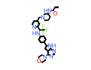 C=CC(=O)N[C@@H]1CCCN(Cc2ccnc(C(Nc3ccc(-c4cc5c(N6CCOCC6)ncnc5[nH]4)cc3)C(F)(F)F)c2)C1